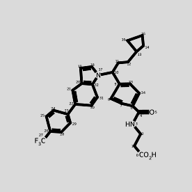 O=C(O)CCNC(=O)c1ccc(C(CCC2CCC2)n2ccc3cc(-c4ccc(C(F)(F)F)cc4)ccc32)cc1